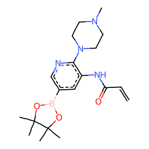 C=CC(=O)Nc1cc(B2OC(C)(C)C(C)(C)O2)cnc1N1CCN(C)CC1